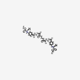 CCOC(=O)/C(C#N)=C/c1ccc(N(C)CCCN(C)C(=O)CCCC(=O)N(C)CCCN(C)c2ccc(/C=C(\C#N)C(=O)OCC)cc2)cc1